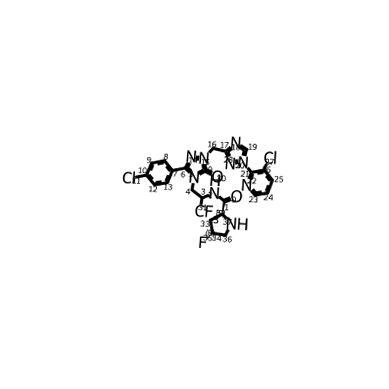 O=C(NC(Cn1c(-c2ccc(Cl)cc2)nn(Cc2ncn(-c3ncccc3Cl)n2)c1=O)C(F)(F)F)[C@@H]1C[C@@H](F)CN1